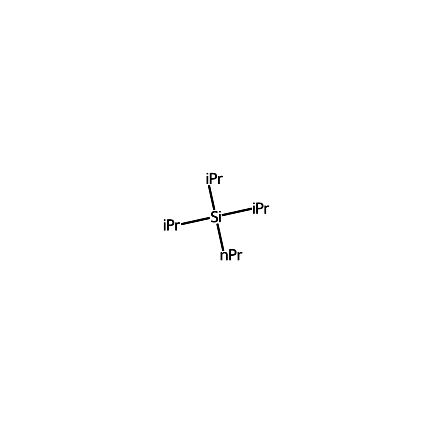 CCC[Si](C(C)C)(C(C)C)C(C)C